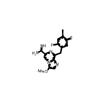 COc1cnc2c(Cc3cc(F)c(C)cc3F)nc(C(=N)N)cn12